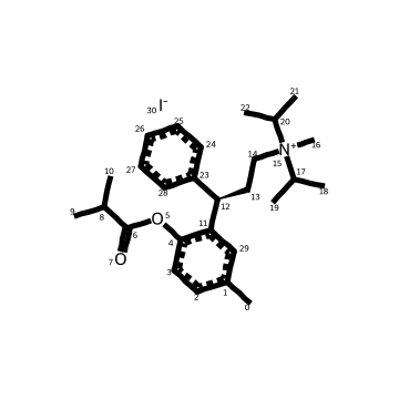 Cc1ccc(OC(=O)C(C)C)c([C@H](CC[N+](C)(C(C)C)C(C)C)c2ccccc2)c1.[I-]